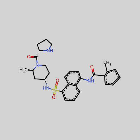 Cc1ccccc1C(=O)Nc1cccc2c(S(=O)(=O)N[C@H]3CCN(C(=O)[C@@H]4CCCN4)[C@H](C)C3)cccc12